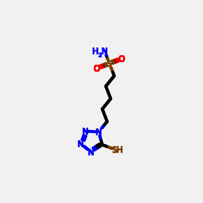 NS(=O)(=O)CCCCCn1nnnc1S